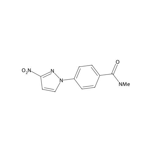 CNC(=O)c1ccc(-n2ccc([N+](=O)[O-])n2)cc1